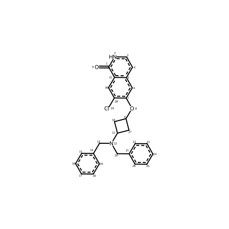 O=c1[nH]ccc2cc(OC3CC(N(Cc4ccccc4)Cc4ccccc4)C3)c(Cl)cc12